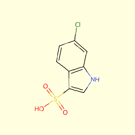 O=S(=O)(O)c1c[nH]c2cc(Cl)ccc12